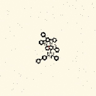 c1ccc(-c2ccc(-c3nc(-c4ccccc4)nc(-c4ccc(-n5c6ccccc6c6cc(-c7ccccc7)c7c8ccccc8n(-c8ccccc8)c7c65)c5oc6ccccc6c45)n3)cc2)cc1